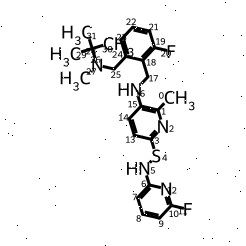 Cc1nc(SNc2cccc(F)n2)ccc1NCc1c(F)cccc1CN(C)C(C)(C)C